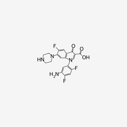 Nc1cc(-n2cc(C(=O)O)c(=O)c3cc(F)c(N4CCNCC4)cc32)c(F)cc1F